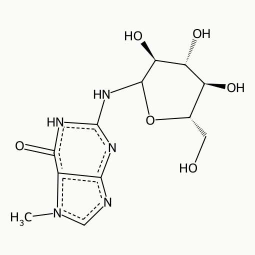 Cn1cnc2nc(NC3O[C@@H](CO)[C@H](O)[C@@H](O)[C@@H]3O)[nH]c(=O)c21